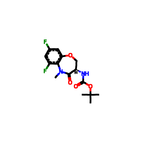 CN1C(=O)[C@@H](NC(=O)OC(C)(C)C)COc2cc(F)cc(F)c21